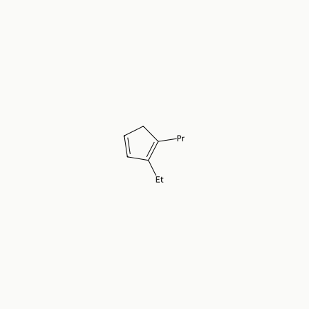 CCC1=[C]([Pr])CC=C1